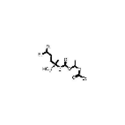 CCC(=O)O[C@H](C)OC(=O)N[C@@](C)(CCC(CC)CC)C(=O)O